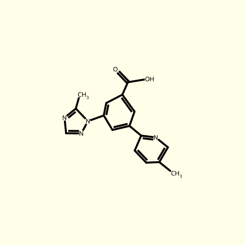 Cc1ccc(-c2cc(C(=O)O)cc(-n3ncnc3C)c2)nc1